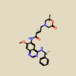 COc1cc2ncnc(N[C@H](C)c3ccccc3)c2cc1NC(=O)/C=C/CN1CC(=O)O[C@H](C)C1